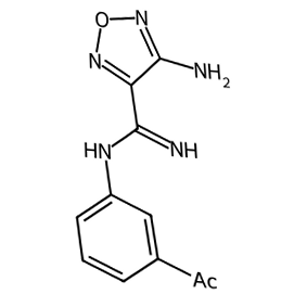 CC(=O)c1cccc(NC(=N)c2nonc2N)c1